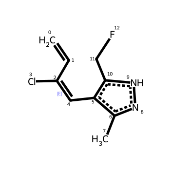 C=C/C(Cl)=C\c1c(C)n[nH]c1CF